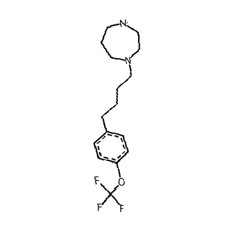 FC(F)(F)Oc1ccc(CCCCN2CCC[N]CC2)cc1